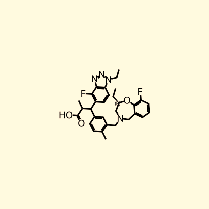 CC[C@@H]1CN(Cc2cc(C(c3ccc4c(nnn4CC)c3F)C(C)C(=O)O)ccc2C)Cc2cccc(F)c2O1